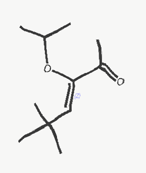 CC(=O)/C(=C/C(C)(C)C)OC(C)C